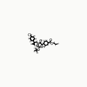 CCCOC(=O)C1CCC(C(NC(=O)OC(C)(C)C)C(=O)NCC2(c3ccc(Cl)cc3)CC2)CC1